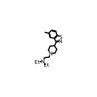 CCN(CC)CCN1CCC(c2nsc3ccc(C)cc23)CC1